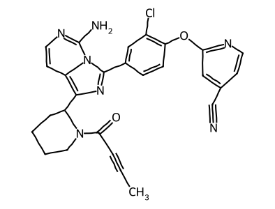 CC#CC(=O)N1CCCCC1c1nc(-c2ccc(Oc3cc(C#N)ccn3)c(Cl)c2)n2c(N)nccc12